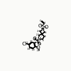 C=CS(=O)(=O)N1CC2(CCN(S(=O)(=O)c3cc(Cl)ccc3OC)C2)C1